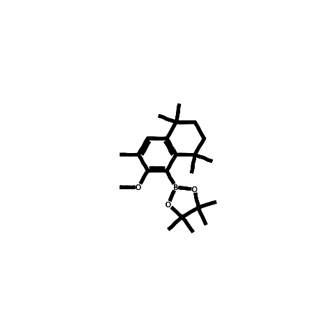 COc1c(C)cc2c(c1B1OC(C)(C)C(C)(C)O1)C(C)(C)CCC2(C)C